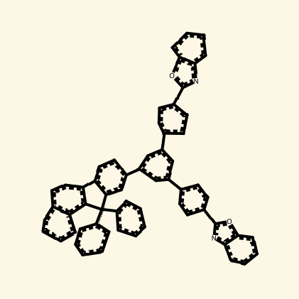 c1ccc(C2(c3ccccc3)c3cc(-c4cc(-c5ccc(-c6nc7ccccc7o6)cc5)cc(-c5ccc(-c6nc7ccccc7o6)cc5)c4)ccc3-c3ccc4ccccc4c32)cc1